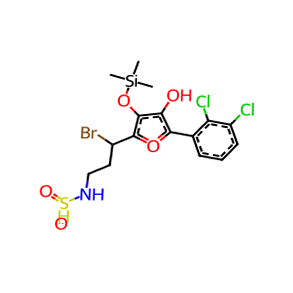 C[Si](C)(C)Oc1c(C(Br)CCN[SH](=O)=O)oc(-c2cccc(Cl)c2Cl)c1O